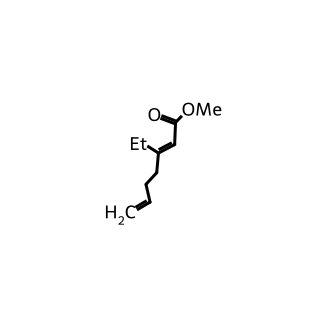 C=CCC/C(=C/C(=O)OC)CC